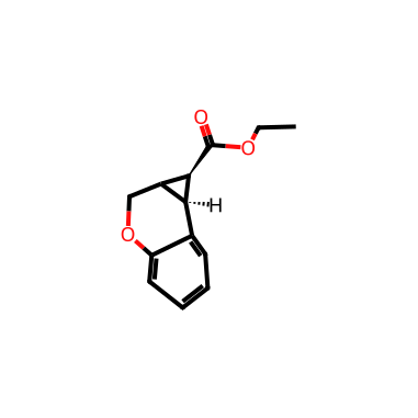 CCOC(=O)[C@@H]1C2COc3ccccc3[C@@H]21